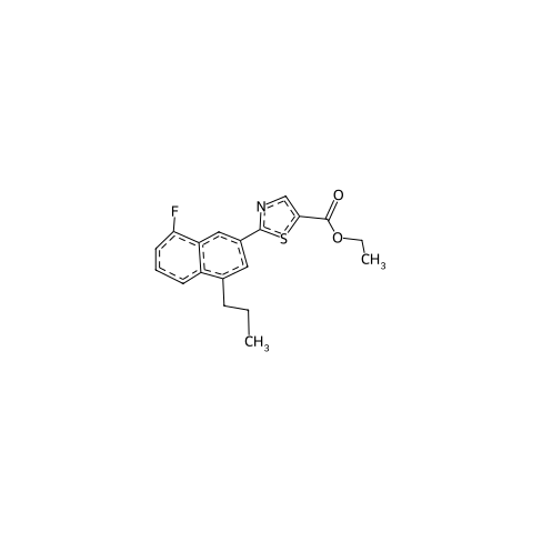 CCCc1cc(-c2ncc(C(=O)OCC)s2)cc2c(F)cccc12